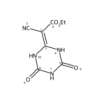 CCOC(=O)C(C#N)=C1NC(=O)NC(=O)N1